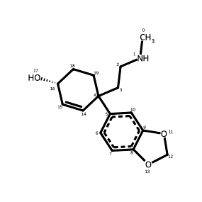 CNCCC1(c2ccc3c(c2)OCO3)C=C[C@H](O)CC1